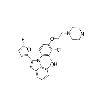 Cc1c(-n2c(-c3ccc(F)o3)cc3cccc(O)c32)ccc(OCCN2CCN(C)CC2)c1Cl